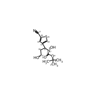 CC(C)(C)OC(=O)N(O)C(CCO)c1csc(C#N)c1